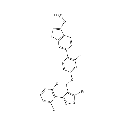 Cc1cc(OCc2c(-c3c(Cl)cccc3Cl)noc2C(C)C)ccc1-c1ccc2c(OC(=O)O)csc2c1